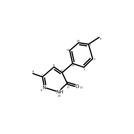 Cc1[c]cc(-c2cc(C)n[nH]c2=O)cc1